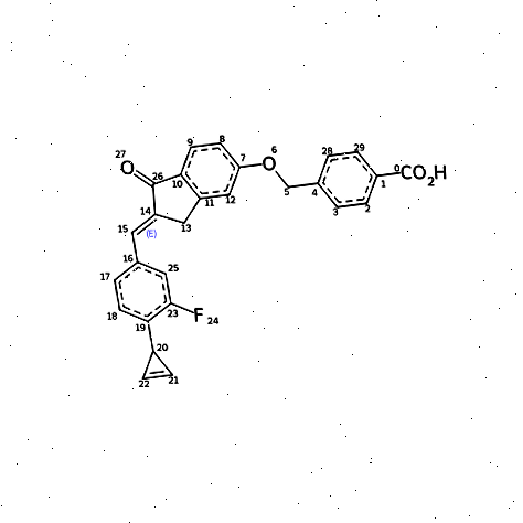 O=C(O)c1ccc(COc2ccc3c(c2)C/C(=C\c2ccc(C4C=C4)c(F)c2)C3=O)cc1